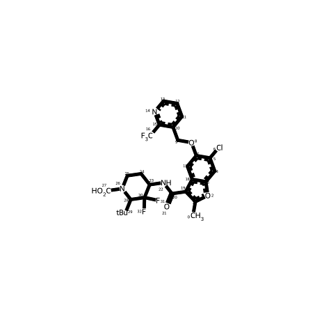 Cc1oc2cc(Cl)c(OCc3cccnc3C(F)(F)F)cc2c1C(=O)NC1CCN(C(=O)O)C(C(C)(C)C)C1(F)F